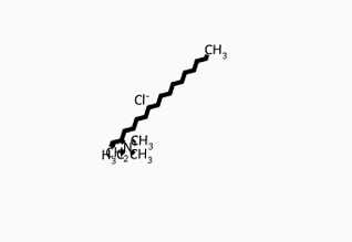 C=CC(CCCCCCCCCCCCCCC)[N+](C)(C)C.[Cl-]